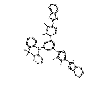 Cc1c(-c2cc(-c3ccc(-c4nc5ccccc5s4)c(C)c3C)cc(N3c4ccccc4C(C)(C)c4ccccc43)c2)ccc(-c2nc3ccccc3s2)c1C